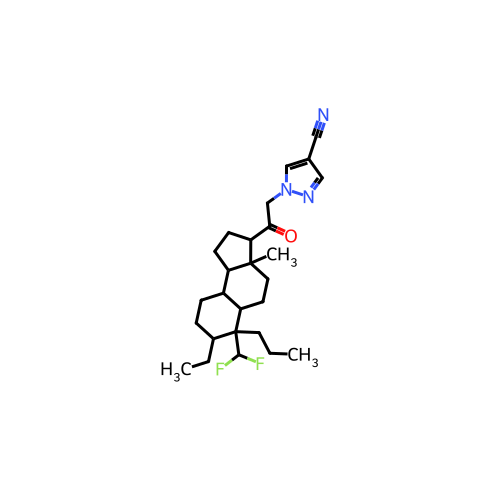 CCCC1(C(F)F)C(CC)CCC2C3CCC(C(=O)Cn4cc(C#N)cn4)C3(C)CCC21